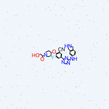 N#Cc1cc(-c2ncnc(Nc3ccc4c(c3)CNC4)n2)ccc1O[C@H]1CCN(C(=O)CO)CC1F